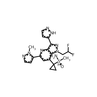 Cn1nccc1-c1cc(C2([SH](C)(N)=O)CC2)c2c(n1)c(-c1ccn[nH]1)nn2CC(F)F